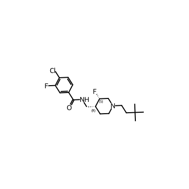 CC(C)(C)CCN1CC[C@H](CNC(=O)c2ccc(Cl)c(F)c2)[C@H](F)C1